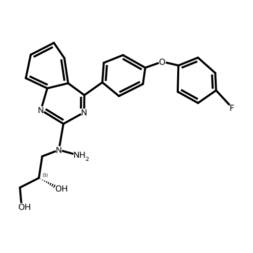 NN(C[C@H](O)CO)c1nc(-c2ccc(Oc3ccc(F)cc3)cc2)c2ccccc2n1